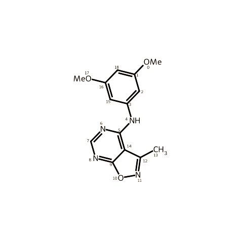 COc1cc(Nc2ncnc3onc(C)c23)cc(OC)c1